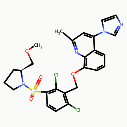 COC[C@@H]1CCCN1S(=O)(=O)c1ccc(Cl)c(COc2cccc3c(-n4ccnc4)cc(C)nc23)c1Cl